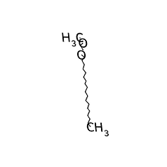 CCCCCCCCCCCCCCCCCCCOCCOC